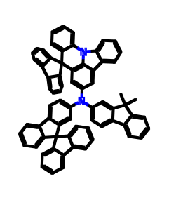 CC1(C)c2ccccc2-c2ccc(N(c3ccc4c(c3)C3(c5ccccc5-c5ccccc53)c3ccccc3-4)c3cc4c5c(c3)c3ccccc3n5-c3ccccc3C43c4ccccc4-c4ccccc43)cc21